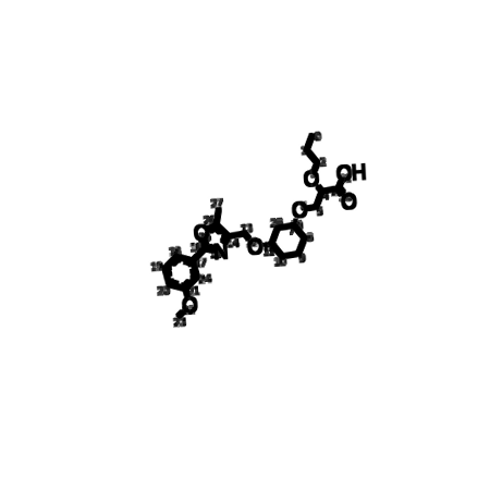 CCCOC(CO[C@@H]1CCC[C@H](OCc2nc(-c3cccc(OC)c3)oc2C)C1)C(=O)O